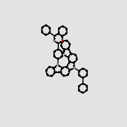 c1ccc(-c2cccc(-n3c4ccc5c6ccccc6oc5c4c4c3ccc3c5ccccc5n(-c5ccc(-c6nc(-c7ccccc7)c7ccccc7n6)cc5)c34)c2)cc1